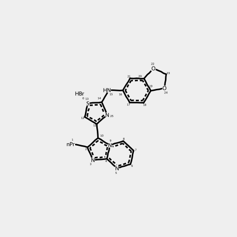 Br.CCCc1nc2ncccn2c1-c1csc(Nc2ccc3c(c2)OCO3)n1